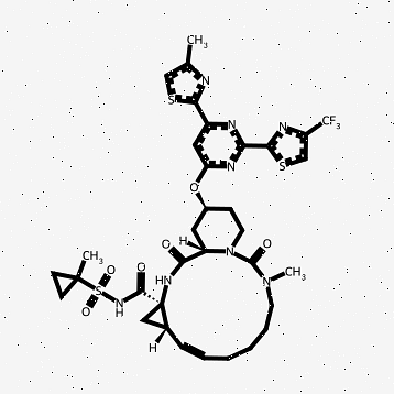 Cc1csc(-c2cc(O[C@H]3CCN4C(=O)N(C)CCCC/C=C\[C@@H]5C[C@@]5(C(=O)NS(=O)(=O)C5(C)CC5)NC(=O)[C@@H]4C3)nc(-c3nc(C(F)(F)F)cs3)n2)n1